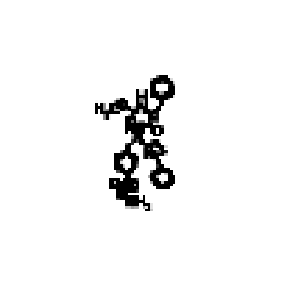 COC(=O)N[C@@H](Cc1ccccc1)C(=O)N[C@@H](Cc1ccc(S(=O)(=O)ON)cc1)c1csc(-c2ccccc2)n1